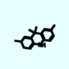 Cc1ccc2c(c1)C(C)(C)C1=CC(C)CC=C1N2